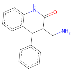 NCC1C(=O)Nc2ccccc2C1c1ccccc1